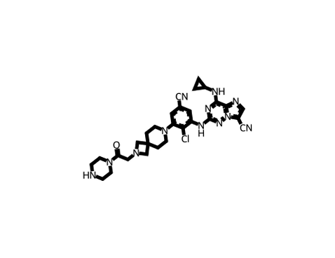 N#Cc1cc(Nc2nc(NC3CC3)c3ncc(C#N)n3n2)c(Cl)c(N2CCC3(CC2)CN(CC(=O)N2CCNCC2)C3)c1